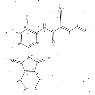 C=CC=C(C#N)C(=O)Nc1cc(N2C(=O)C3=C(CCCC3)C2=O)ccc1Cl